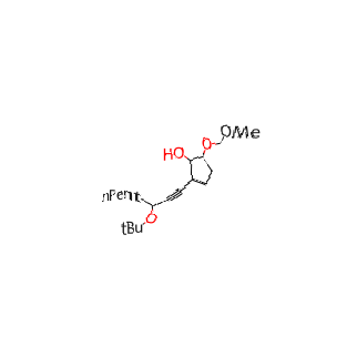 CCCCCC(C#CC1CCC(OCOC)C1O)OC(C)(C)C